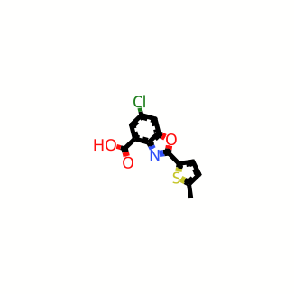 Cc1ccc(-c2nc3c(C(=O)O)cc(Cl)cc3o2)s1